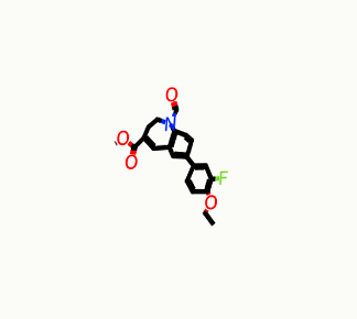 CCOc1ccc(-c2ccc3c(c2)C=C(C(=O)OC)CCN3C=O)cc1F